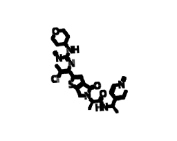 C=N/C=C\C(=C/C)[C@@H](C)NC(=O)[C@@H](C)N1Cc2sc(C(/N=C(\N=C)NC3CCOCC3)=C(/C)Cl)cc2C1=O